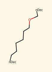 [CH2]CCCCCCCCCCCCCCCOCCCCCCCCCC[CH2]